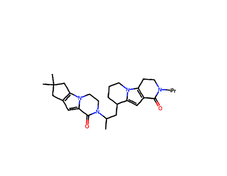 CC(C)N1CCc2c(cc3n2CCCC3CC(C)N2CCn3c(cc4c3CC(C)(C)C4)C2=O)C1=O